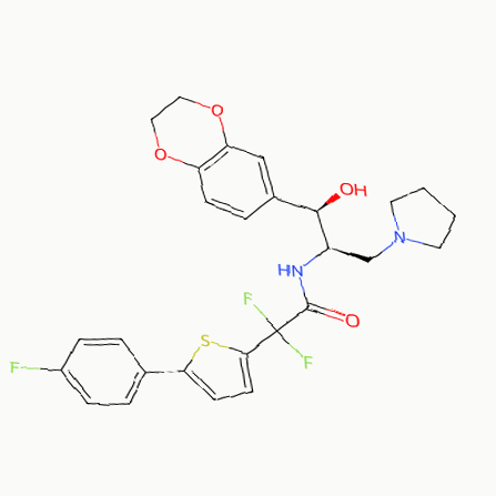 O=C(N[C@H](CN1CCCC1)[C@H](O)c1ccc2c(c1)OCCO2)C(F)(F)c1ccc(-c2ccc(F)cc2)s1